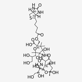 CC(=O)C(C(=O)NC1(C)C(C)(C(O)C(O)CO)O[C@](COC(=O)CCCCC2SC[C@@H]3NC(=O)N[C@H]23)(C(=O)O)C(C)(C)C1(C)O)[C@@]1(N)[C@@H](O)C[C@](C)(O)O[C@H]1[C@H](O)[C@H](O)CO